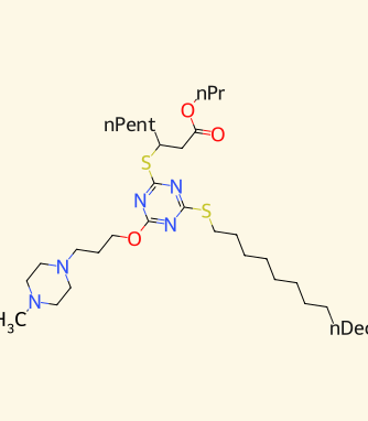 CCCCCCCCCCCCCCCCCCSc1nc(OCCCN2CCN(C)CC2)nc(SC(CCCCC)CC(=O)OCCC)n1